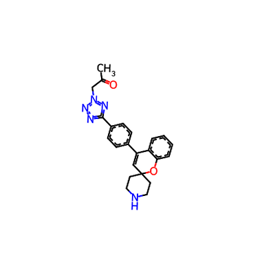 CC(=O)Cn1nnc(-c2ccc(C3=CC4(CCNCC4)Oc4ccccc43)cc2)n1